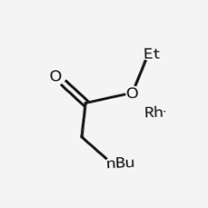 CCCCCC(=O)OCC.[Rh]